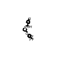 OC(CN1CCCC(COc2ccc(C(F)(F)F)cc2)C1)c1ccc(Cl)cc1